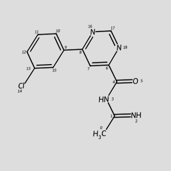 CC(=N)NC(=O)c1cc(-c2cccc(Cl)c2)ncn1